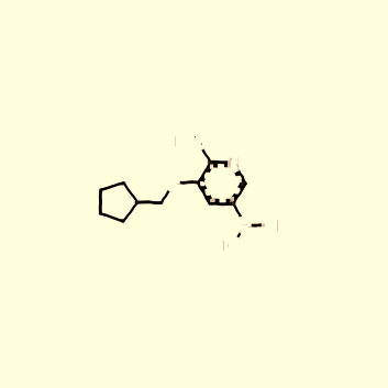 Nc1ncc(B(O)O)cc1SCC1CCCC1